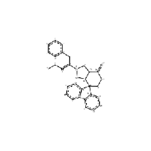 CCN=C(Cc1ccccc1)N1CC2C(=O)CCC(c3ccccc3)(c3ccccc3)C2C1